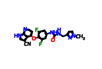 Cn1ccc(CNC(=O)Nc2cc(F)c(Oc3ccnc4[nH]cc(C#N)c34)c(F)c2)n1